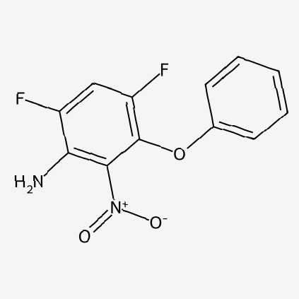 Nc1c(F)cc(F)c(Oc2ccccc2)c1[N+](=O)[O-]